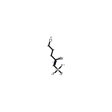 F[B-](F)(F)/C=C(\Br)CCCCl